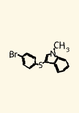 Cn1cc(Sc2ccc(Br)cc2)c2ccccc21